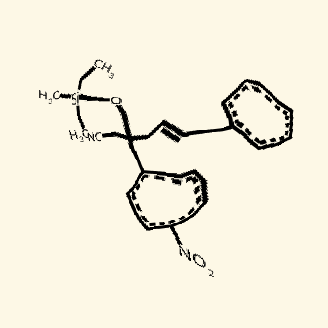 C[Si](C)(C)OC(C#N)(/C=C/c1ccccc1)c1ccc([N+](=O)[O-])cc1